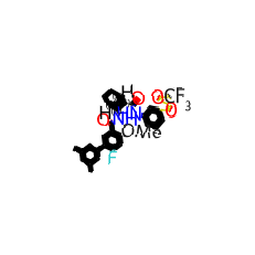 COc1cc(F)c(-c2cc(C)cc(C)c2)cc1C(=O)N[C@@H]1[C@H]2CC[C@H](C2)[C@@H]1C(=O)Nc1cccc(S(=O)(=O)C(F)(F)F)c1